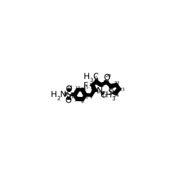 Cc1cc(Cc2ccc(S(N)(=O)=O)cc2F)n(C)c1C(=O)c1cccs1